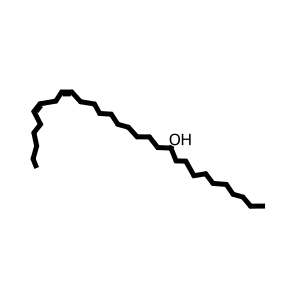 CCCCC/C=C\C/C=C\CCCCCCCCCC(O)CCCCCCCCCC